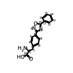 N[C@@H](Cc1ccc(-c2noc(-c3ccccc3)n2)cc1)C(=O)O